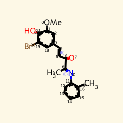 COc1cc(/C=C/C(=O)/C(C)=N/c2ccccc2C)cc(Br)c1O